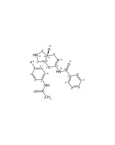 CC(=O)Nc1ccc(F)c([C@]23CNC[C@@H]2CN=C(NC(=O)c2ccccc2)S3)c1